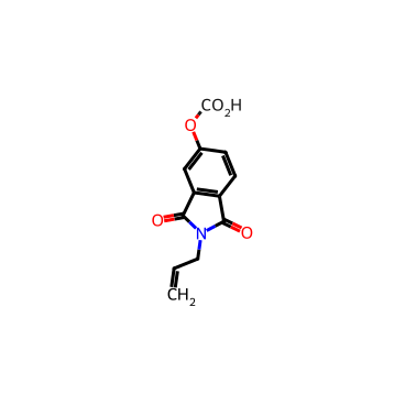 C=CCN1C(=O)c2ccc(OC(=O)O)cc2C1=O